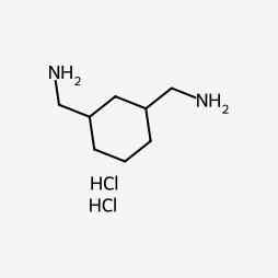 Cl.Cl.NCC1CCCC(CN)C1